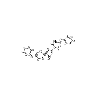 Cn1cc(-c2ccc(Oc3ccccc3)nc2)nc1C1CCN(Cc2ccccc2)CC1